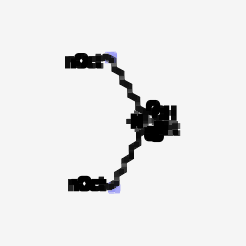 CCCCCCCC/C=C\CCCCCCCC(=O)C(C(=O)CCCCCCC/C=C\CCCCCCCC)(C(O)=[P+]([O-])CC)[N+](C)(C)C